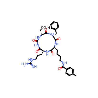 Cc1ccc(C(=O)NCCCC[C@@H]2NC(=O)[C@@H](Cc3ccccc3)NC(=O)[C@@H](CC(=O)O)NC(=O)NC(=O)[C@H](CCCNC(=N)N)NC2=O)cc1